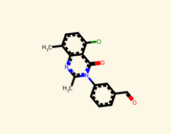 Cc1ccc(Cl)c2c(=O)n(-c3cccc(C=O)c3)c(C)nc12